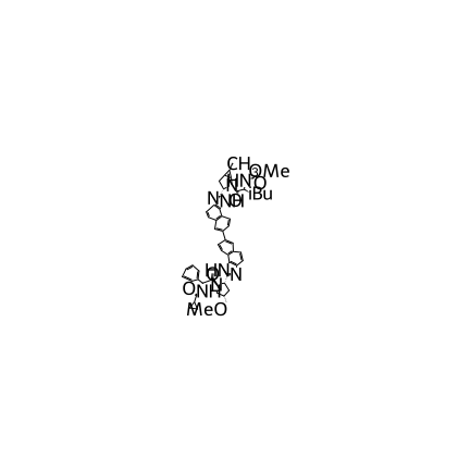 CC[C@H](C)[C@H](NC(=O)OC)C(=O)N1C2C(C[C@H]1c1nc3ccc4cc(-c5ccc6c(ccc7nc([C@@H]8C[C@H](COC)CN8C(=O)[C@H](NC(=O)C8CC8)c8ccccc8)[nH]c76)c5)ccc4c3[nH]1)[C@H]2C